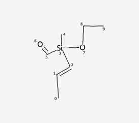 CC=C[Si](C)(C=O)OCC